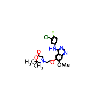 COc1cc2ncnc(Nc3ccc(F)c(Cl)c3)c2cc1OCCN1CC(=O)OC(C)(C)C1